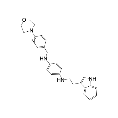 c1ccc2c(CCNc3ccc(NCc4ccc(N5CCOCC5)nc4)cc3)c[nH]c2c1